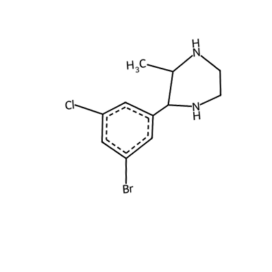 CC1NCCNC1c1cc(Cl)cc(Br)c1